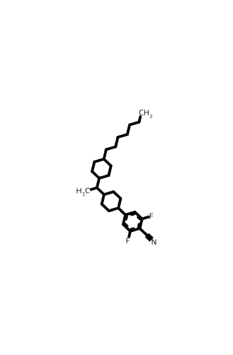 CCCCCCCC1CCC(C(C)C2CCC(c3cc(F)c(C#N)c(F)c3)CC2)CC1